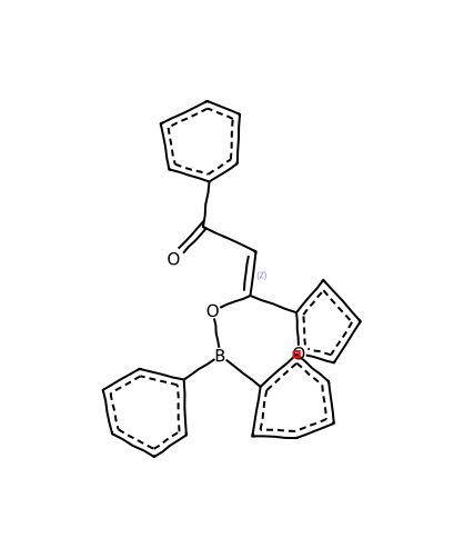 O=C(/C=C(\OB(c1ccccc1)c1ccccc1)c1ccco1)c1ccccc1